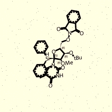 CO[C@@H]1[C@H](OC(C)(C)C)[C@@H](CON2C(=O)c3ccccc3C2=O)O[C@]1(n1cc(C)c(=O)[nH]c1=O)[SiH](c1ccccc1)c1ccccc1